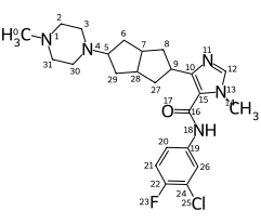 CN1CCN(C2CC3CC(c4ncn(C)c4C(=O)Nc4ccc(F)c(Cl)c4)CC3C2)CC1